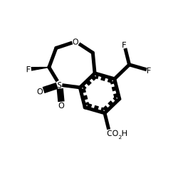 O=C(O)c1cc(C(F)F)c2c(c1)S(=O)(=O)[C@@H](F)COC2